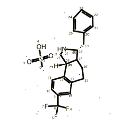 CS(=O)(=O)O.FC(F)(F)c1ccc2c(c1)CCC1[C@@H](Cc3ccccc3)NC[C@@H]21